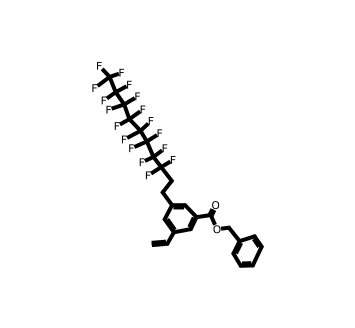 C=Cc1cc(CCC(F)(F)C(F)(F)C(F)(F)C(F)(F)C(F)(F)C(F)(F)C(F)(F)C(F)(F)F)cc(C(=O)OCc2ccccc2)c1